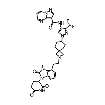 Cn1c(=O)n(C2CCC(=O)NC2=O)c2cccc(CCN3CC4(CCC(n5cc(NC(=O)c6cnn7cccnc67)c(C(F)F)n5)CC4)C3)c21